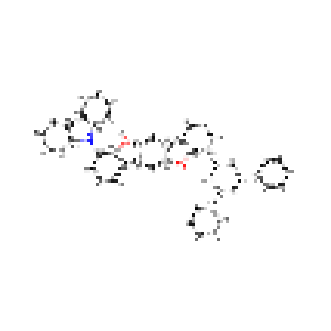 c1ccc(-c2cc(-c3ccccc3)cc(-c3cccc4c3oc3cc5c(cc34)oc3c(-n4c6ccccc6c6ccccc64)cccc35)c2)cc1